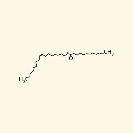 CCCCCCCC/C=C\CCCCCCC[CH]C(=O)CCCCCCCCCCC